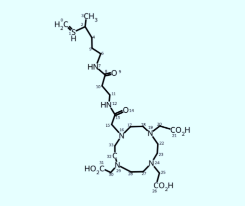 C=[SH]C(C)CCCNC(=O)CCNC(=O)CN1CCN(CC(=O)O)CCN(CC(=O)O)CCN(CC(=O)O)CC1